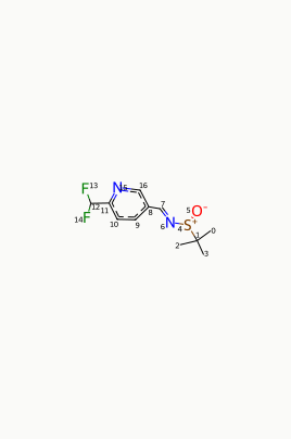 CC(C)(C)[S@@+]([O-])N=Cc1ccc(C(F)F)nc1